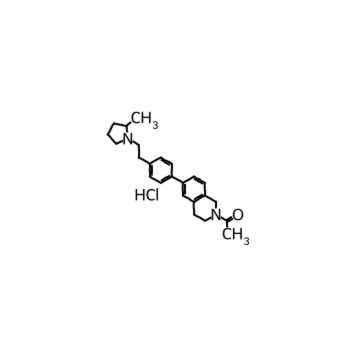 CC(=O)N1CCc2cc(-c3ccc(CCN4CCCC4C)cc3)ccc2C1.Cl